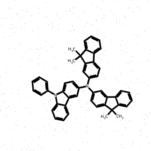 CC1(C)c2ccccc2-c2cc(N(c3ccc4c(c3)C(C)(C)c3ccccc3-4)c3ccc4c(c3)c3ccccc3n4-c3ccccc3)ccc21